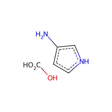 Nc1cc[nH]c1.O=C(O)O